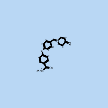 CNC(=O)c1ccc(Oc2ccc(CN3CCC(=O)CC3)cc2)cc1